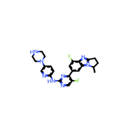 CC1CCc2nc3c(F)cc(-c4nc(Nc5ccc(N6CCNCC6)cn5)ncc4F)cc3n21